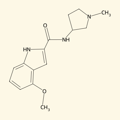 COc1cccc2[nH]c(C(=O)NC3CCN(C)C3)cc12